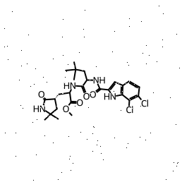 COC(=O)C(C[C@@H]1CC(C)(C)NC1=O)NC(=O)C(CC(C)(C)C)NC(=O)c1cc2ccc(Cl)c(Cl)c2[nH]1